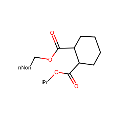 CCCCCCCCCCOC(=O)C1CCCCC1C(=O)OC(C)C